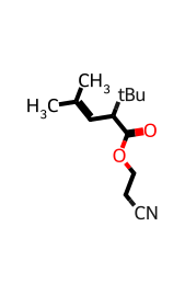 CC(C)=CC(C(=O)OCCC#N)C(C)(C)C